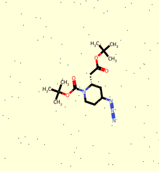 CC(C)(C)OC(=O)C[C@@H]1CC(N=[N+]=[N-])CCN1C(=O)OC(C)(C)C